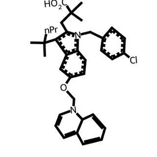 CCCC(C)(C)c1c(CC(C)(C)C(=O)O)n(Cc2ccc(Cl)cc2)c2ccc(OCN3C=CC=C4C=CC=CC43)cc12